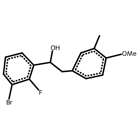 COc1ccc(CC(O)c2cccc(Br)c2F)cc1C